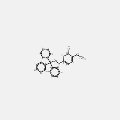 COC1=CN=C(COC(c2ccccc2)(c2ccccc2)c2ccccc2)CC1=O